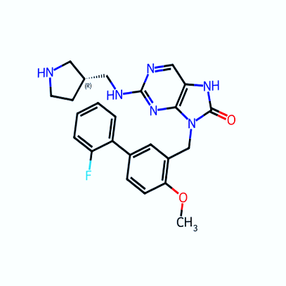 COc1ccc(-c2ccccc2F)cc1Cn1c(=O)[nH]c2cnc(NC[C@@H]3CCNC3)nc21